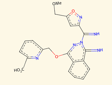 COCc1cc(C(=N)n2nc(OCc3cccc(C(=O)O)n3)c3ccccc3c2=N)no1